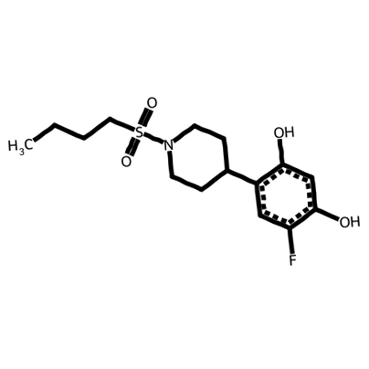 CCCCS(=O)(=O)N1CCC(c2cc(F)c(O)cc2O)CC1